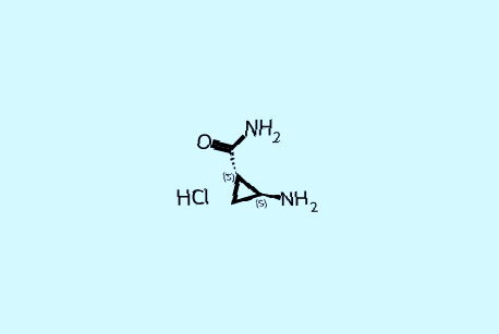 Cl.NC(=O)[C@H]1C[C@@H]1N